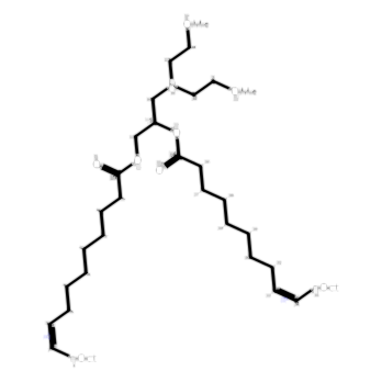 CCCCCCCC/C=C\CCCCCCCC(=O)OCC(CN(CCOC)CCOC)OC(=O)CCCCCCC/C=C\CCCCCCCC